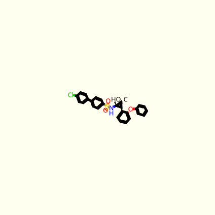 O=C(O)[C@@]1(NS(=O)(=O)c2ccc(-c3ccc(Cl)cc3)cc2)C[C@H]1c1ccccc1Oc1ccccc1